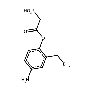 BCc1cc(N)ccc1OC(=O)CS(=O)(=O)O